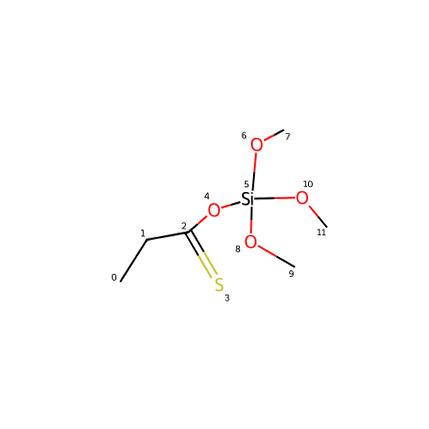 CCC(=S)O[Si](OC)(OC)OC